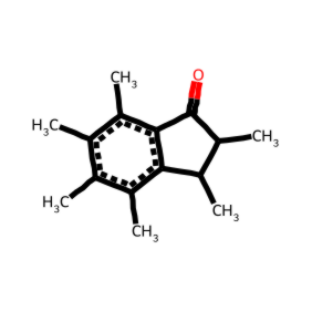 Cc1c(C)c(C)c2c(c1C)C(=O)C(C)C2C